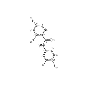 Cc1cc(NC(=O)c2ncc(F)cc2F)ccc1F